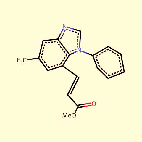 COC(=O)C=Cc1cc(C(F)(F)F)cc2ncn(-c3ccccc3)c12